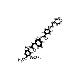 COc1ccc(NC(=O)Cc2cccc(NC(=O)c3ccc(OCCN4CCOCC4)cc3)c2)cc1OC